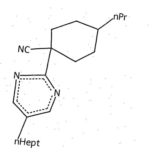 CCCCCCCc1cnc(C2(C#N)CCC(CCC)CC2)nc1